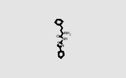 N[C@@H](CCc1ccccc1)C(=O)Nc1nc(-c2ccccc2)cs1